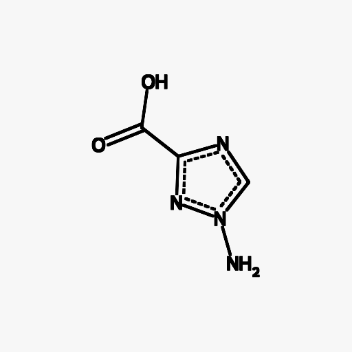 Nn1cnc(C(=O)O)n1